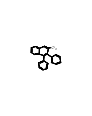 FC(F)(F)c1cc2ccccc2c(-c2ccccc2)c1-c1ccccc1